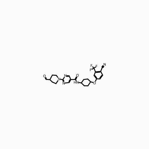 N#Cc1ccc(OC2CCC(NC(=O)c3cnc(N4CCC(C=O)CC4)nc3)CC2)cc1C(F)(F)F